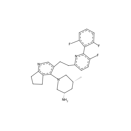 C[C@@H]1C[C@H](N)CN(c2c(CCc3ccc(F)c(-c4c(F)cccc4F)n3)cnc3c2CCC3)C1